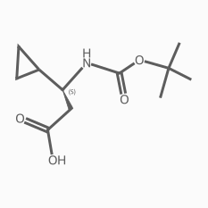 CC(C)(C)OC(=O)N[C@@H](CC(=O)O)C1CC1